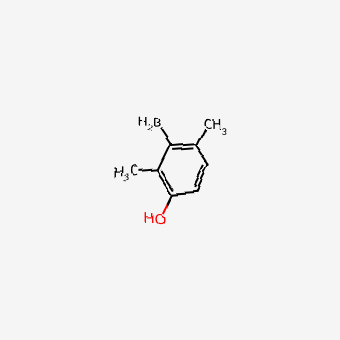 Bc1c(C)ccc(O)c1C